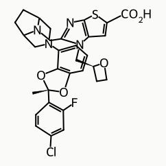 C[C@]1(c2ccc(Cl)cc2F)Oc2cccc(N3CC4CCC(C3)N4Cc3nc4sc(C(=O)O)cc4n3C[C@@H]3CCO3)c2O1